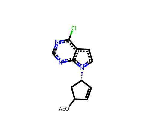 CC(=O)OC1C=C[C@@H](n2ccc3c(Cl)ncnc32)C1